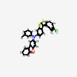 Cc1cccc(N(c2ccc3c(c2)sc2sc4ccc(Cl)cc4c23)c2ccc3oc4ccccc4c3c2)c1